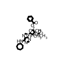 CC(=O)OC1(C)[C@@H](COC(=O)c2ccccc2)OC(n2cnc3c(NC4CCCCCC4)ncnc32)[C@]1(C)F